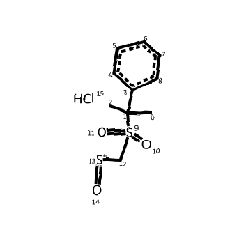 CC(C)(c1ccccc1)S(=O)(=O)C[S+]=O.Cl